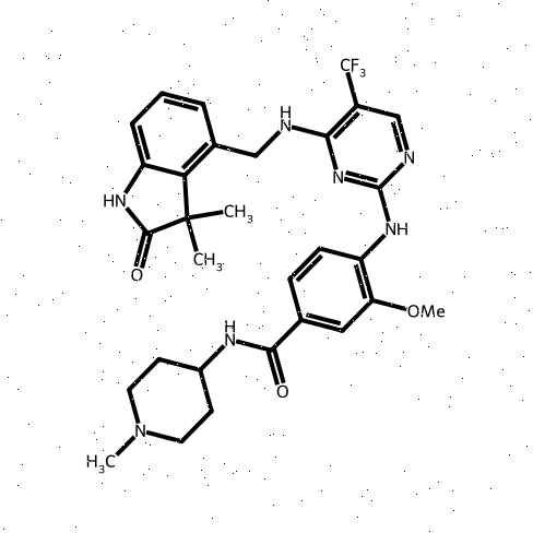 COc1cc(C(=O)NC2CCN(C)CC2)ccc1Nc1ncc(C(F)(F)F)c(NCc2cccc3c2C(C)(C)C(=O)N3)n1